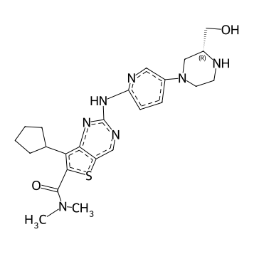 CN(C)C(=O)c1sc2cnc(Nc3ccc(N4CCN[C@@H](CO)C4)cn3)nc2c1C1CCCC1